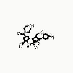 CN(C(=O)c1cc2c(s1)-c1ccc(Br)cc1OCC2)c1ccc(C(=O)N2CCNCC2)cc1Cl